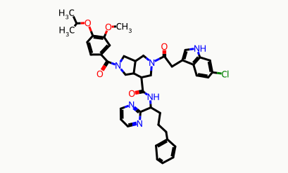 COc1cc(C(=O)N2CC3CN(C(=O)Cc4c[nH]c5cc(Cl)ccc45)CC(C(=O)NC(CCCc4ccccc4)c4ncccn4)C3C2)ccc1OC(C)C